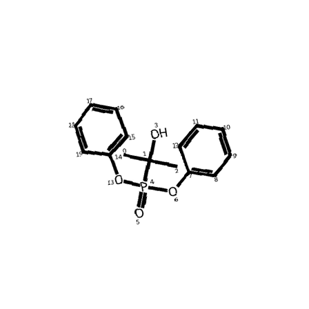 CC(C)(O)P(=O)(Oc1ccccc1)Oc1ccccc1